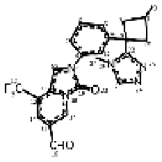 CC1CC(c2cccc(-n3cc4c(C(F)(F)F)cc(C=O)cn4c3=O)c2)(c2nncn2C)C1